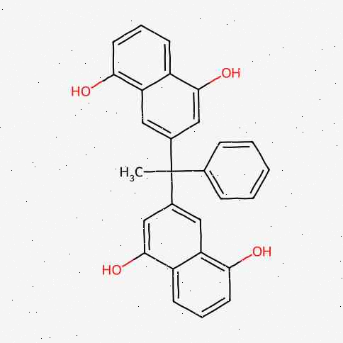 CC(c1ccccc1)(c1cc(O)c2cccc(O)c2c1)c1cc(O)c2cccc(O)c2c1